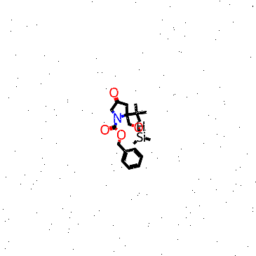 C[SiH](C)OCC1(C(C)(C)C)CC(=O)CN1C(=O)OCc1ccccc1